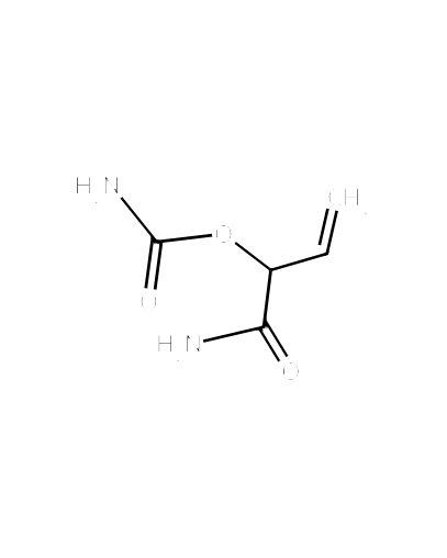 C=CC(OC(N)=O)C(N)=O